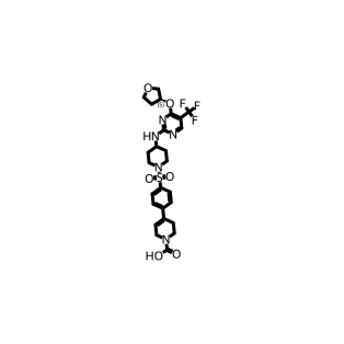 O=C(O)N1CC=C(c2ccc(S(=O)(=O)N3CCC(Nc4ncc(C(F)(F)F)c(O[C@H]5CCOC5)n4)CC3)cc2)CC1